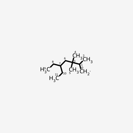 [CH2]C(C)C(C)(C)CC(CC)CC